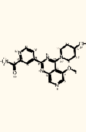 COc1cncc2nc(-c3ccnc(C(N)=O)c3)nc(N3CCC(O)CC3)c12